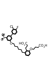 O=C(O)CCCOc1cccc(CCCCCCOc2cc(-c3ccc(F)c(Cl)c3)cc([SH](=O)=O)c2)c1CCC(=O)O